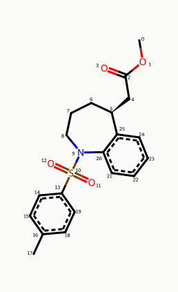 COC(=O)C[C@@H]1CCCN(S(=O)(=O)c2ccc(C)cc2)c2ccccc21